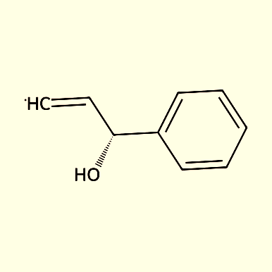 [CH]=C[C@@H](O)c1ccccc1